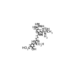 CC(O)C(N)C(=O)NC(CC1=CCNC1C(=N)N)C(=O)NCCCC(=O)NC(C(=O)O)c1ccc(C(=O)O)c(O)c1